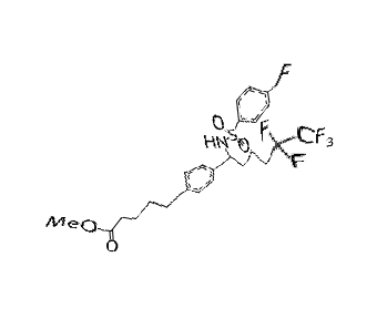 COC(=O)CCCCc1ccc(C(CCCC(F)(F)C(F)(F)F)NS(=O)(=O)c2ccc(F)cc2)cc1